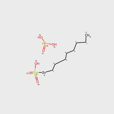 CCCCCCC[CH2][Zn][S](=O)(=O)O.O=[PH](O)O